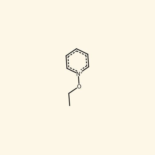 CCO[n+]1ccccc1